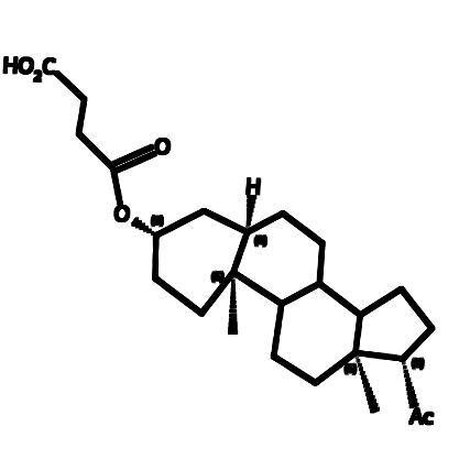 CC(=O)[C@H]1CCC2C3CC[C@@H]4C[C@@H](OC(=O)CCC(=O)O)CC[C@]4(C)C3CC[C@@]21C